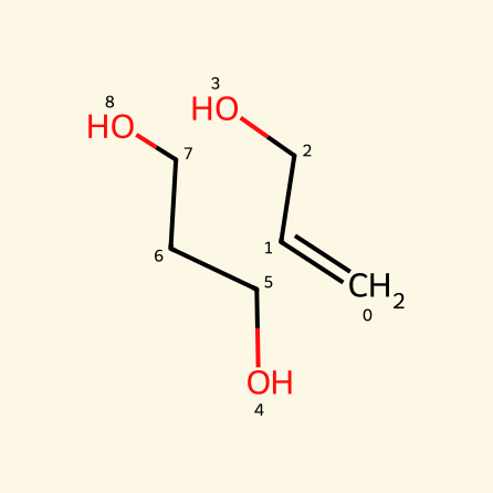 C=CCO.OCCCO